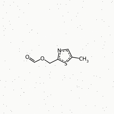 Cc1cnc(COC=O)s1